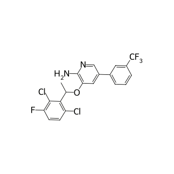 CC(Oc1cc(-c2cccc(C(F)(F)F)c2)cnc1N)c1c(Cl)ccc(F)c1Cl